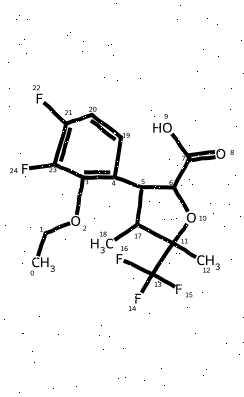 CCOc1c(C2C(C(=O)O)OC(C)(C(F)(F)F)C2C)ccc(F)c1F